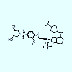 COc1cc(S(=O)(=O)N(CCO)CCO)ccc1NCC#Cc1cc2c(n1CC(F)(F)P)=CCCC=2N(C)C1CCC(N(C)C)CC1